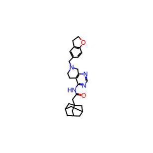 O=C(CC12CC3CC(CC(C3)C1)C2)Nc1ncnc2c1CCN(Cc1ccc3c(c1)CCO3)C2